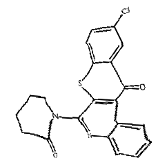 O=C1CCCCN1c1nc2ccccc2c2c(=O)c3cc(Cl)ccc3sc12